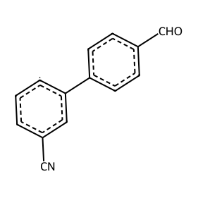 N#Cc1cc[c]c(-c2ccc(C=O)cc2)c1